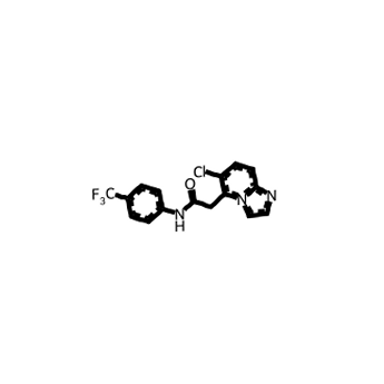 O=C(Cc1c(Cl)ccc2nccn12)Nc1ccc(C(F)(F)F)cc1